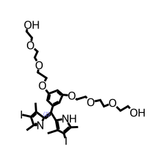 CC1=N/C(=C(/c2cc(OCCOCCOCCO)cc(OCCOCCOCCO)c2)c2[nH]c(C)c(I)c2C)C(C)=C1I